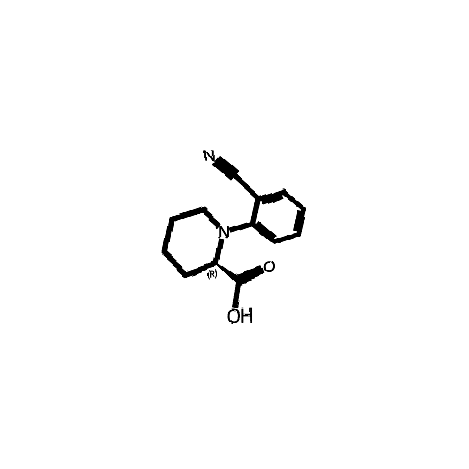 N#Cc1ccccc1N1CCCC[C@@H]1C(=O)O